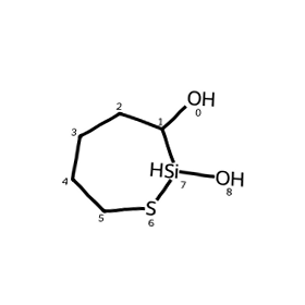 OC1CCCCS[SiH]1O